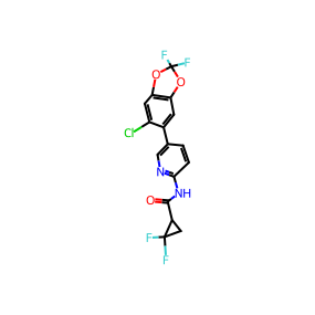 O=C(Nc1ccc(-c2cc3c(cc2Cl)OC(F)(F)O3)cn1)C1CC1(F)F